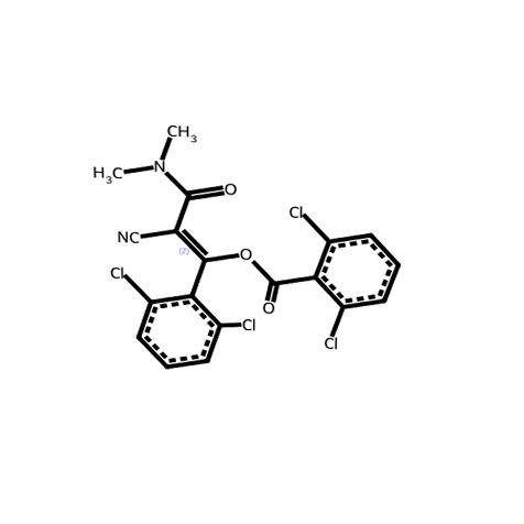 CN(C)C(=O)/C(C#N)=C(\OC(=O)c1c(Cl)cccc1Cl)c1c(Cl)cccc1Cl